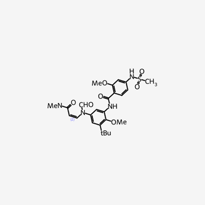 CNC(=O)/C=C\N(C=O)c1cc(NC(=O)c2ccc(NS(C)(=O)=O)cc2OC)c(OC)c(C(C)(C)C)c1